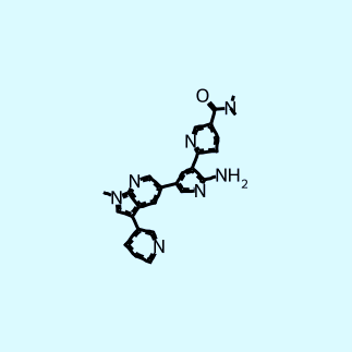 CN(C)C(=O)c1ccc(-c2cc(-c3cnc4c(c3)c(-c3cccnc3)cn4C)cnc2N)nc1